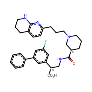 O=C(NC[C@@H](C(=O)O)c1cc(F)cc(-c2ccccc2)c1)[C@@H]1CCCN(CCCc2ccc3c(n2)NCCC3)C1